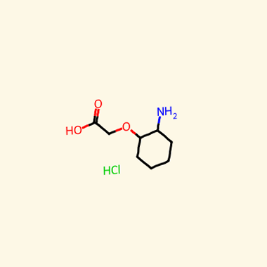 Cl.NC1CCCCC1OCC(=O)O